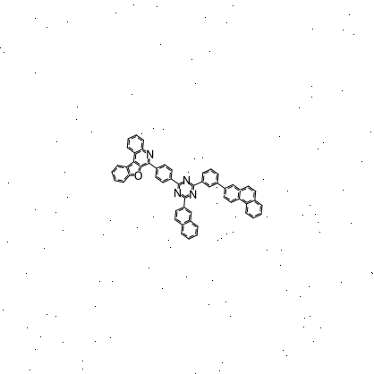 c1cc(-c2ccc3c(ccc4ccccc43)c2)cc(-c2nc(-c3ccc(-c4nc5ccccc5c5c4oc4ccccc45)cc3)nc(-c3ccc4ccccc4c3)n2)c1